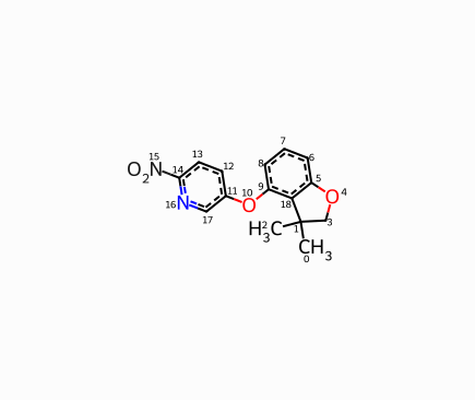 CC1(C)COc2cccc(Oc3ccc([N+](=O)[O-])nc3)c21